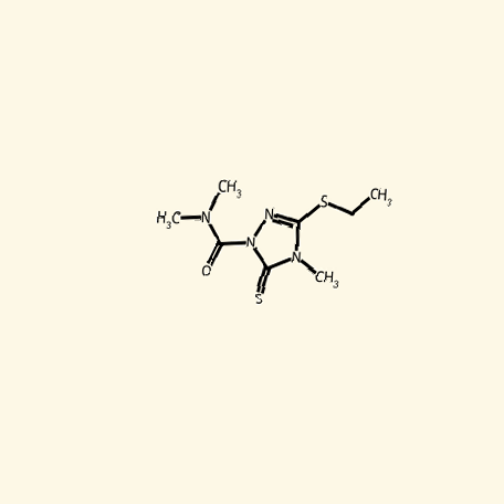 CCSc1nn(C(=O)N(C)C)c(=S)n1C